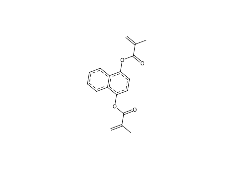 C=C(C)C(=O)Oc1ccc(OC(=O)C(=C)C)c2ccccc12